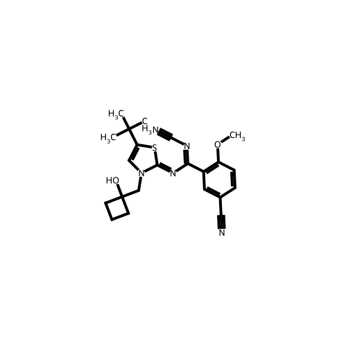 COc1ccc(C#N)cc1C(=NC#N)/N=c1\sc(C(C)(C)C)cn1CC1(O)CCC1